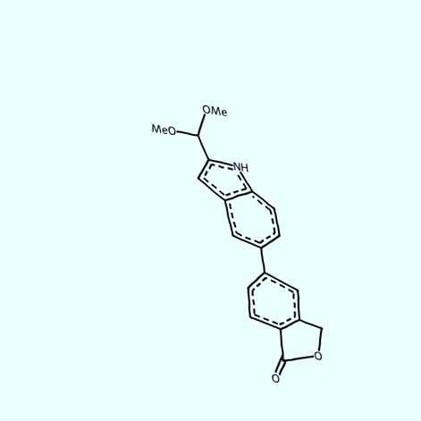 COC(OC)c1cc2cc(-c3ccc4c(c3)COC4=O)ccc2[nH]1